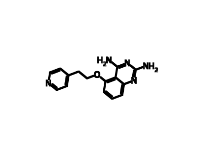 Nc1nc(N)c2c(OCCc3ccncc3)cccc2n1